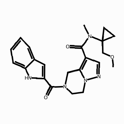 COCC1(N(C)C(=O)c2cnn3c2CN(C(=O)c2cc4ccccc4[nH]2)CC3)CC1